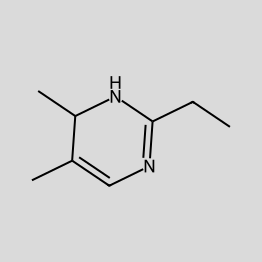 CCC1=NC=C(C)C(C)N1